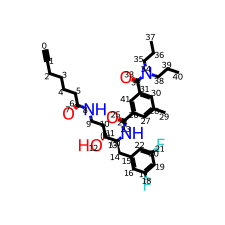 C#CCCCCC(=O)NCC[C@@H](O)[C@H](Cc1cc(F)cc(F)c1)NC(=O)c1cc(C)cc(C(=O)N(CCC)CCC)c1